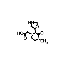 CN1CCN(CC(=O)O)C(C2CNCO2)C1=O